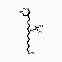 CCCCCCCCCCCCCCCCCCSCC(=COC)CO.O=P(O)(O)O